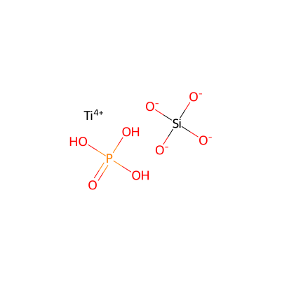 O=P(O)(O)O.[O-][Si]([O-])([O-])[O-].[Ti+4]